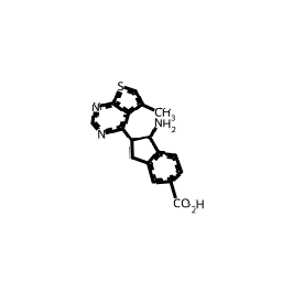 Cc1csc2ncnc(C3Cc4cc(C(=O)O)ccc4C3N)c12